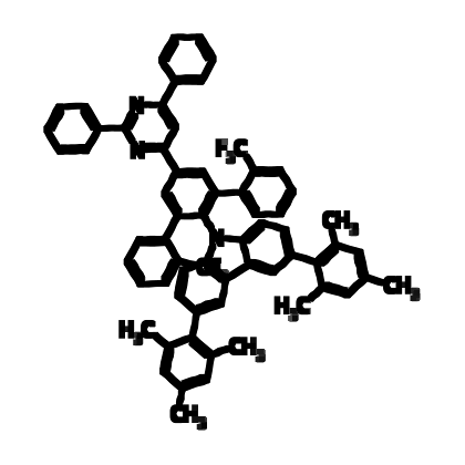 Cc1cc(C)c(-c2ccc3c(c2)c2cc(-c4c(C)cc(C)cc4C)ccc2n3-c2c(-c3ccccc3C(F)(F)F)cc(-c3cc(-c4ccccc4)nc(-c4ccccc4)n3)cc2-c2ccccc2C(F)(F)F)c(C)c1